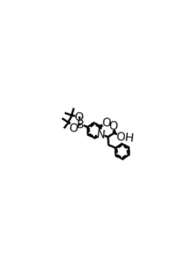 CC1(C)OB(c2ccn(C(Cc3ccccc3)C(=O)O)c(=O)c2)OC1(C)C